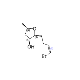 CC/C=C\CC[C@@H]1O[C@H](C)C[C@@H]1O